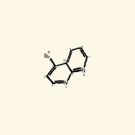 Brc1ccnc2ncccc12